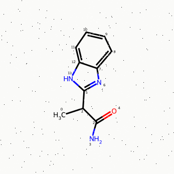 CC(C(N)=O)c1nc2ccccc2[nH]1